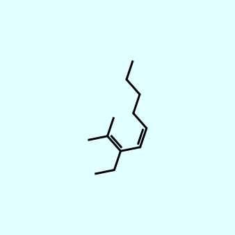 CCCC/C=C\C(CC)=C(C)C